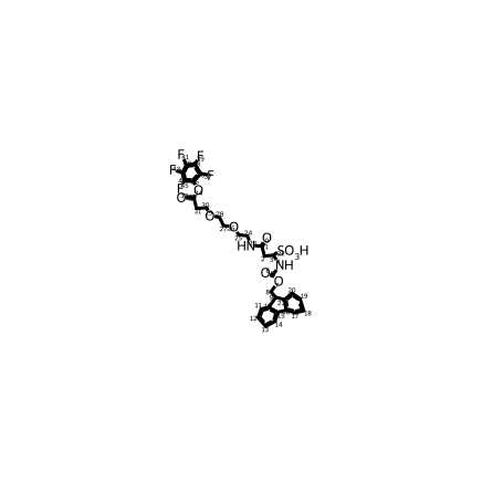 O=C(CC(NC(=O)OCC1c2ccccc2-c2ccccc21)S(=O)(=O)O)NCCOCCOCCC(=O)Oc1c(F)c(F)c(F)c(F)c1F